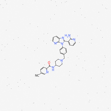 N#Cc1ccc(C(=O)NC2CCN(Cc3ccc(-n4c(-c5cccnc5N)nc5cccnc54)cc3)CC2)nc1